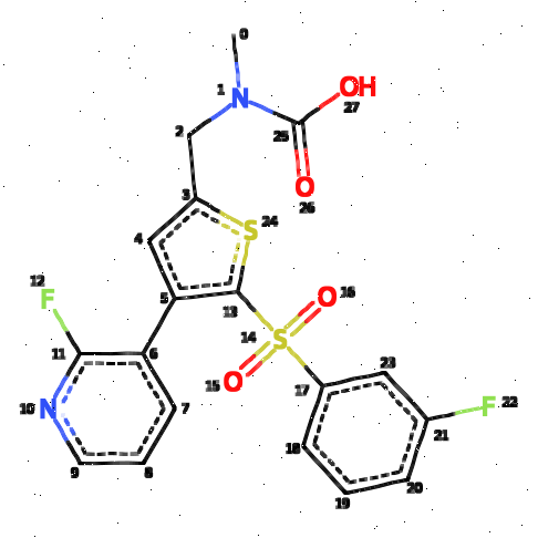 CN(Cc1cc(-c2cccnc2F)c(S(=O)(=O)c2cccc(F)c2)s1)C(=O)O